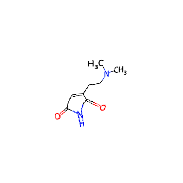 CN(C)CCC1=CC(=O)NC1=O